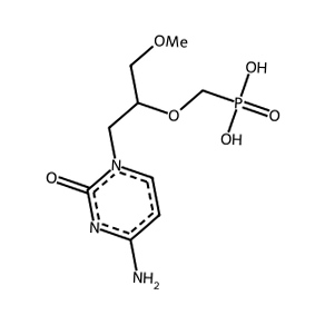 COCC(Cn1ccc(N)nc1=O)OCP(=O)(O)O